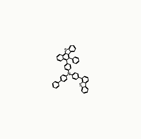 c1ccc(-c2ccc(N(c3ccc(-c4c(-c5ccccc5)c5c6ccccc6sc5c5ccccc45)cc3)c3ccc(-c4cccc5c4sc4ccccc45)cc3)cc2)cc1